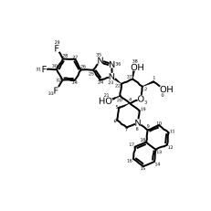 OC[C@H]1O[C@@]2(CCCN(c3cccc4ccccc34)C2)[C@@H](O)[C@@H](n2cc(-c3cc(F)c(F)c(F)c3)nn2)[C@H]1O